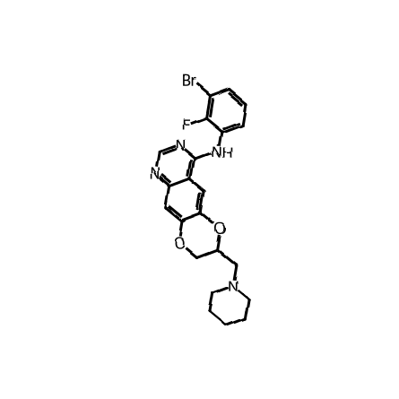 Fc1c(Br)cccc1Nc1ncnc2cc3c(cc12)OC(CN1CCCCC1)CO3